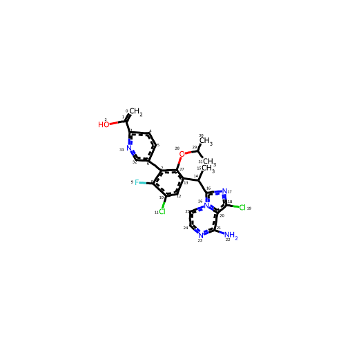 C=C(O)c1ccc(-c2c(F)c(Cl)cc(C(C)c3nc(Cl)c4c(N)nccn34)c2OC(C)C)cn1